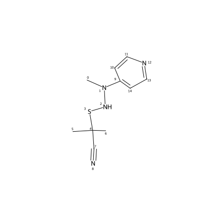 CN(NSC(C)(C)C#N)c1ccncc1